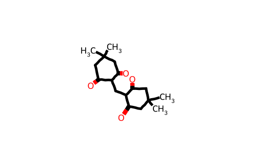 CC1(C)CC(=O)C(CC2C(=O)CC(C)(C)CC2=O)C(=O)C1